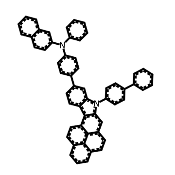 c1ccc(-c2ccc(-n3c4cc(-c5ccc(N(c6ccccc6)c6ccc7ccccc7c6)cc5)ccc4c4c5ccc6cccc7ccc(cc43)c5c76)cc2)cc1